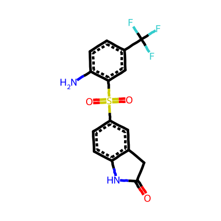 Nc1ccc(C(F)(F)F)cc1S(=O)(=O)c1ccc2c(c1)CC(=O)N2